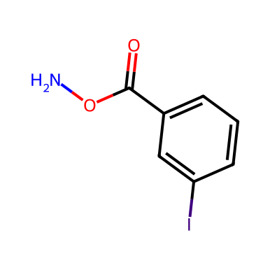 NOC(=O)c1cccc(I)c1